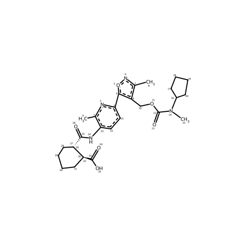 Cc1nc(-c2onc(C)c2COC(=O)N(C)C2CCCC2)ccc1NC(=O)[C@H]1CCCC[C@@H]1C(=O)O